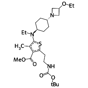 CCOC1CN([C@H]2CC[C@H](N(CC)c3sc(CCNC(=O)OC(C)(C)C)c(C(=O)OC)c3C)CC2)C1